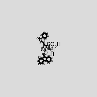 CN(CCCC(NC(=O)OCC1c2ccccc2-c2ccccc21)C(=O)O)c1ccccc1.Cl